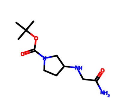 CC(C)(C)OC(=O)N1CCC(NCC(N)=O)C1